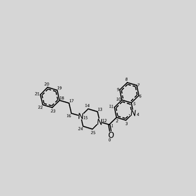 O=C(c1cnc2ccccc2c1)N1CCN(CCc2ccccc2)CC1